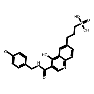 O=C(NCc1ccc(Cl)cc1)c1cnc2ccc(CCCP(=O)(O)O)cc2c1O